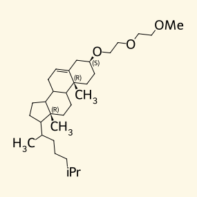 COCCOCCO[C@H]1CC[C@@]2(C)C(=CCC3C4CCC(C(C)CCCC(C)C)[C@@]4(C)CCC32)C1